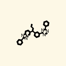 C=C/C=C(/c1cccc(-c2ncnc(-c3ccccc3)n2)c1)c1ccc2nc(-c3ccccc3)nn2c1